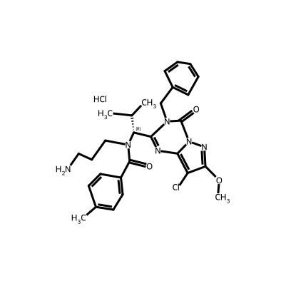 COc1nn2c(=O)n(Cc3ccccc3)c([C@@H](C(C)C)N(CCCN)C(=O)c3ccc(C)cc3)nc2c1Cl.Cl